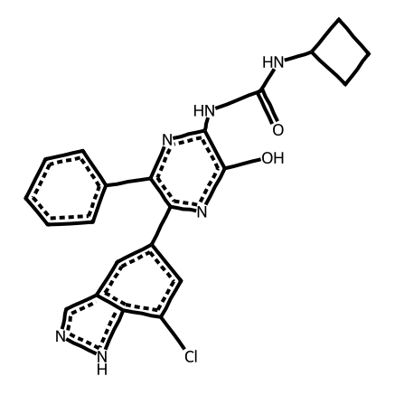 O=C(Nc1nc(-c2ccccc2)c(-c2cc(Cl)c3[nH]ncc3c2)nc1O)NC1CCC1